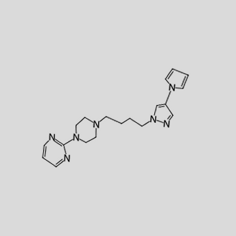 c1cnc(N2CCN(CCCCn3cc(-n4cccc4)cn3)CC2)nc1